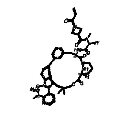 C=CC(=O)N1CC(C(=O)N(C)C(C(=O)N[C@H]2Cc3cccc(c3)-c3ccc4c(c3)c(c(-c3cccnc3[C@H](C)OC)n4CC)CC(C)(C)COC(=O)[C@@H]3CCCN(N3)C2=O)C(C)C)C1